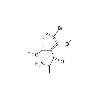 COc1ccc(Br)c(OC)c1C(=O)C(C)P